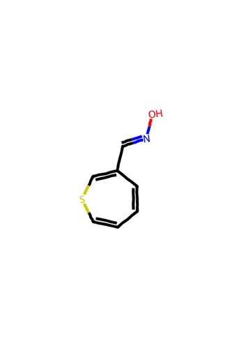 ON=CC1=CSC=CC=C1